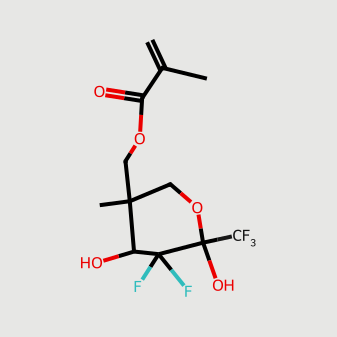 C=C(C)C(=O)OCC1(C)COC(O)(C(F)(F)F)C(F)(F)C1O